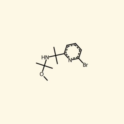 COC(C)(C)NC(C)(C)c1cccc(Br)n1